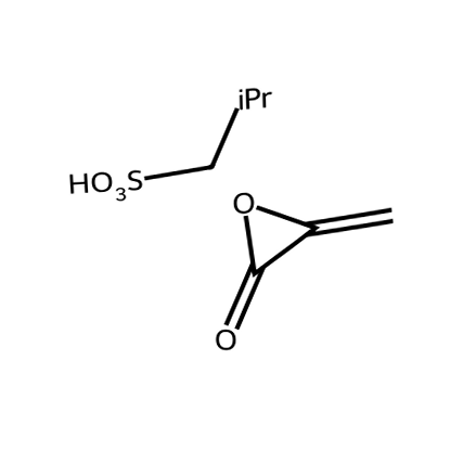 C=C1OC1=O.CC(C)CS(=O)(=O)O